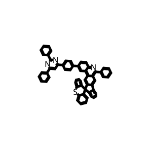 c1ccc(-c2cc(-c3ccc(-c4ccc5nc(-c6ccccc6)c6cc7c(cc6c5c4)C4(c5ccccc5Sc5ccccc54)c4ccccc4-7)cc3)nc(-c3ccccc3)n2)cc1